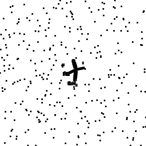 CS(=O)(=O)O.[F].[GaH3]